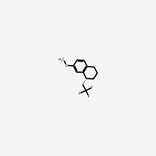 COc1ccc2c(c1)[C@@H](CC(F)(F)F)CCC2